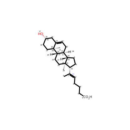 C/C(=C\CCCC(=O)O)[C@H]1CC[C@H]2[C@@H]3CC=C4C[C@@H](O)CC[C@]4(C)[C@H]3CC[C@]12C